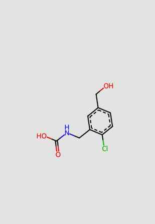 O=C(O)NCc1cc(CO)ccc1Cl